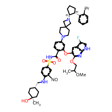 COC(C)COc1nc2[nH]cc(F)c2cc1Oc1cc(N2CCC3(CC2)CN([C@@H]2CCC[C@@H]2c2ccccc2C(C)C)C3)ccc1C(=O)NS(=O)(=O)c1ccc(NC[C@H]2CC[C@](C)(O)CC2)c(N=O)c1